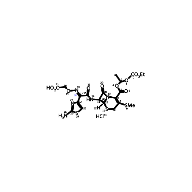 CCOC(=O)OC(C)OC(=O)C1=C(SC)CS[C@@H]2C(NC(=O)/C(=N/OCC(=O)O)c3csc(N)n3)C(=O)N12.Cl